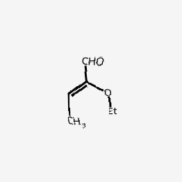 CC=C(C=O)OCC